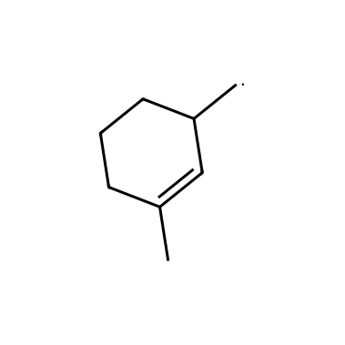 [CH2]C1C=C(C)CCC1